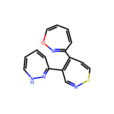 [C]1=NSC=CC(C2=NOC=CC=C2)=C1C1=NNC=CC=C1